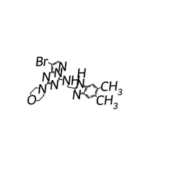 Cc1cc2nc(CNc3nc(N4CCOCC4)nc4c(Br)cnn34)[nH]c2cc1C